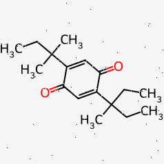 CCC(C)(C)C1=CC(=O)C(C(C)(CC)CC)=CC1=O